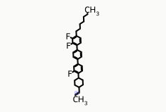 C/C=C/C1CCC(c2ccc(-c3ccc(-c4ccc(CCCCCCC)c(F)c4F)cc3)cc2F)CC1